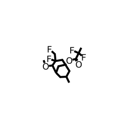 COC1C2CC(C)CC(OC(=O)C(C)(F)F)(C2)CC1(F)CF